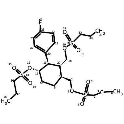 CCCS(=O)(=O)OC[C@H]1CC[C@H](OS(=O)(=O)CCC)[C@@H](c2ccc(F)cc2)[C@@H]1COS(=O)(=O)CCC